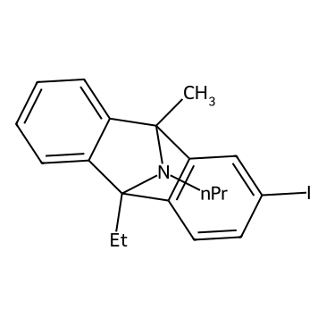 CCCN1C2(C)c3ccccc3C1(CC)c1ccc(I)cc12